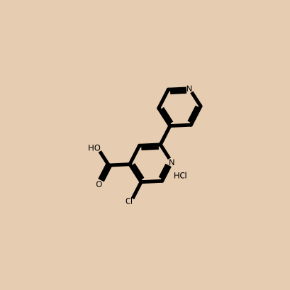 Cl.O=C(O)c1cc(-c2ccncc2)ncc1Cl